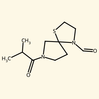 CC(C)C(=O)N1CCC2(C1)SCCN2C=O